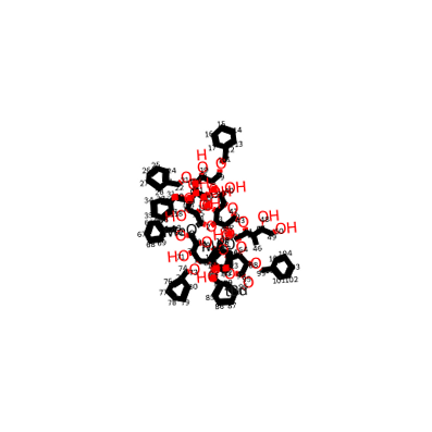 COC(OC1C(OC2OC(COCc3ccccc3)C(O)C(OCc3ccccc3)C2OCc2ccccc2)C(CO)OC(OC(C(C)[C@H](O)CO)C(O)(OC)OC2C(OC3OC(COCc4ccccc4)C(O)C(OCc4ccccc4)C3OCc3ccccc3)C(CO)OC(OC(C)(C)C)C2OCc2ccccc2)C1OCc1ccccc1)C(O)C(O)C(C)[C@H](O)CO